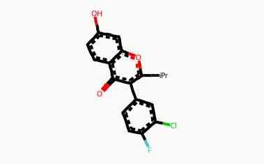 CC(C)c1oc2cc(O)ccc2c(=O)c1-c1ccc(F)c(Cl)c1